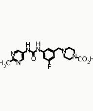 Cc1ncc(NC(=O)Nc2cc(F)cc(CN3CCN(C(=O)O)CC3)c2)cn1